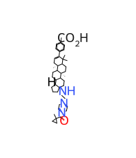 CC1(C(=O)N2CCN(CCN[C@]34CCCC3[C@H]3CCC5[C@@](C)(CCC6C(C)(C)C(c7ccc(C(=O)O)cc7)=CC[C@@]65C)C3CC4)CC2)CC1